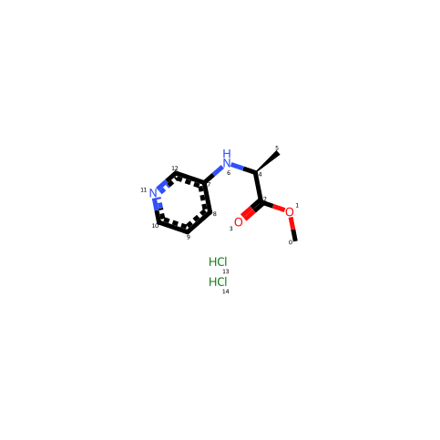 COC(=O)[C@H](C)Nc1cccnc1.Cl.Cl